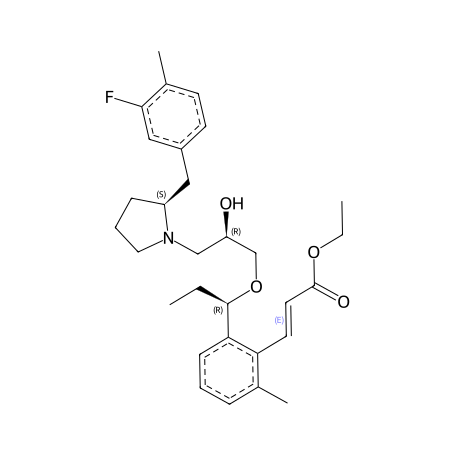 CCOC(=O)/C=C/c1c(C)cccc1[C@@H](CC)OC[C@H](O)CN1CCC[C@H]1Cc1ccc(C)c(F)c1